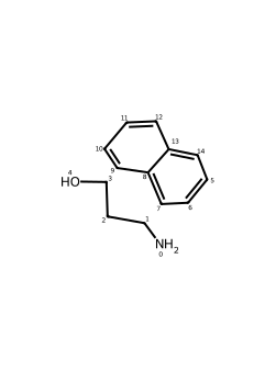 NCCCO.c1ccc2ccccc2c1